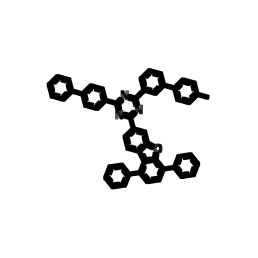 Cc1ccc(-c2cccc(-c3nc(-c4ccc(-c5ccccc5)cc4)nc(-c4ccc5c(c4)oc4c(-c6ccccc6)ccc(-c6ccccc6)c45)n3)c2)cc1